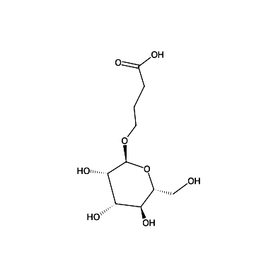 O=C(O)CCCO[C@H]1O[C@H](CO)[C@@H](O)[C@H](O)[C@@H]1O